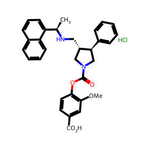 COc1cc(C(=O)O)ccc1OC(=O)N1C[C@H](CN[C@H](C)c2cccc3ccccc23)[C@@H](c2ccccc2)C1.Cl